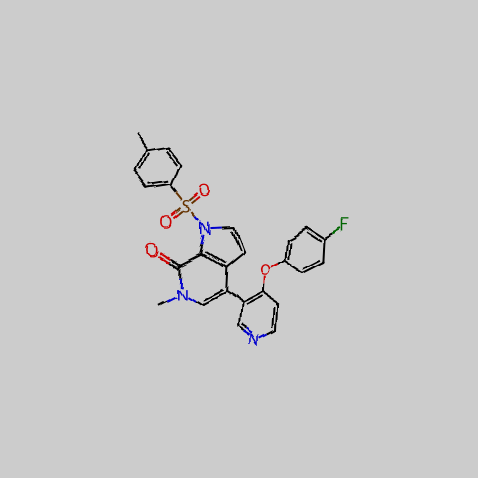 Cc1ccc(S(=O)(=O)n2ccc3c(-c4cnccc4Oc4ccc(F)cc4)cn(C)c(=O)c32)cc1